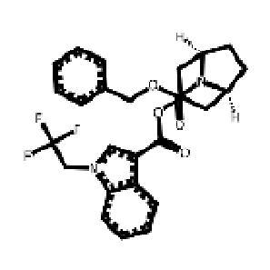 O=C(O[C@H]1C[C@H]2CC[C@@H](C1)N2C(=O)OCc1ccccc1)c1cn(CC(F)(F)F)c2ccccc12